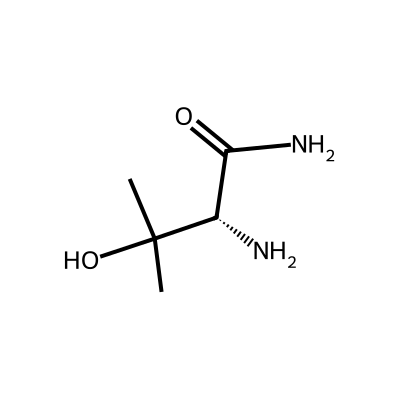 CC(C)(O)[C@@H](N)C(N)=O